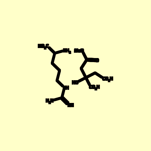 COC(=O)CC(O)(CC(=O)O)C(=O)O.N=C(N)NCCCC(N)C(=O)O